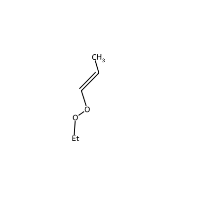 CC=COOCC